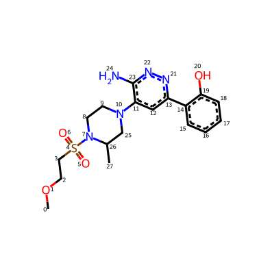 COCCS(=O)(=O)N1CCN(c2cc(-c3ccccc3O)nnc2N)CC1C